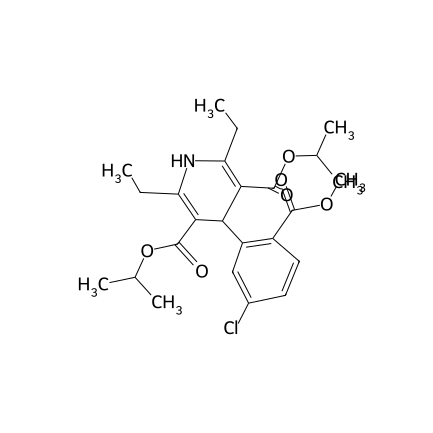 CCC1=C(C(=O)OC(C)C)C(c2cc(Cl)ccc2C(=O)OC)C(C(=O)OC(C)C)=C(CC)N1